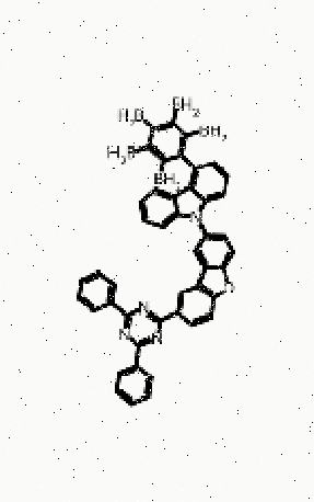 Bc1c(B)c(B)c(-c2cccc3c2c2ccccc2n3-c2ccc3oc4ccc(-c5nc(-c6ccccc6)nc(-c6ccccc6)n5)cc4c3c2)c(B)c1B